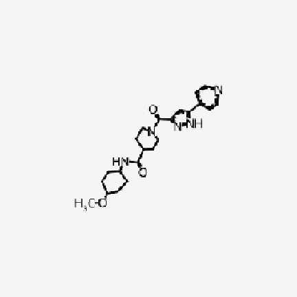 COC1CCC(NC(=O)C2CCN(C(=O)c3cc(-c4ccncc4)[nH]n3)CC2)CC1